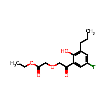 CCCc1cc(F)cc(C(=O)COCC(=O)OCC)c1O